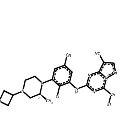 CCNc1nc(Nc2cc(C#N)cc(N3CCN(C4COC4)C[C@@H]3C)c2Cl)nc2c(C#N)cnn12